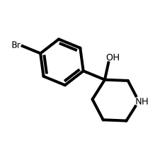 OC1(c2ccc(Br)cc2)CCCNC1